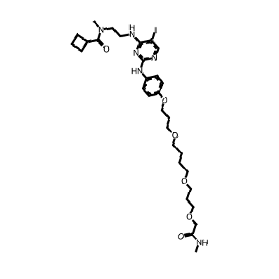 CNC(=O)COCCCOCCCCOCCCOc1ccc(Nc2ncc(I)c(NCCN(C)C(=O)C3CCC3)n2)cc1